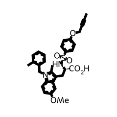 CC#CCOc1ccc(S(=O)(=O)N[C@@H](Cc2c(C)n(Cc3ccccc3C)c3ccc(OC)cc23)C(=O)O)cc1